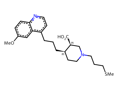 COc1ccc2nccc(CCC[C@@H]3CCN(CCCSC)C[C@@H]3C(=O)O)c2c1